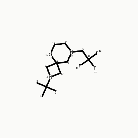 CC(C)(C)N1CC2(CN(CC(F)(F)F)CCO2)C1